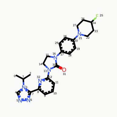 CC(C)n1cnnc1-c1cccc(N2CCN(c3ccc(N4CCC(F)CC4)cc3)C2=O)n1